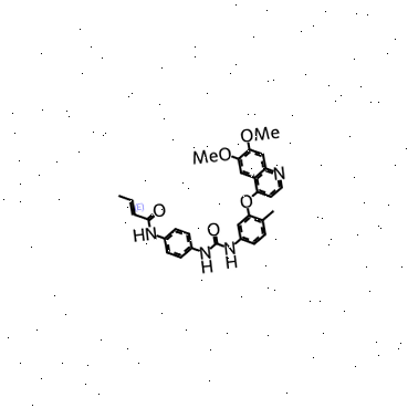 C/C=C/C(=O)Nc1ccc(NC(=O)Nc2ccc(C)c(Oc3ccnc4cc(OC)c(OC)cc34)c2)cc1